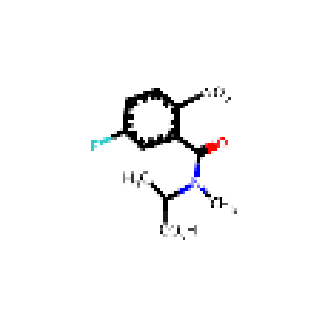 CC(C(=O)O)N(C)C(=O)c1cc(F)ccc1[N+](=O)[O-]